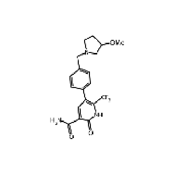 COC1CCN(Cc2ccc(-c3cc(C(N)=O)c(=O)[nH]c3C(F)(F)F)cc2)C1